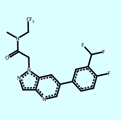 CN(CC(F)(F)F)C(=O)Cn1ncc2ncc(-c3ccc(F)c(C(F)F)c3)cc21